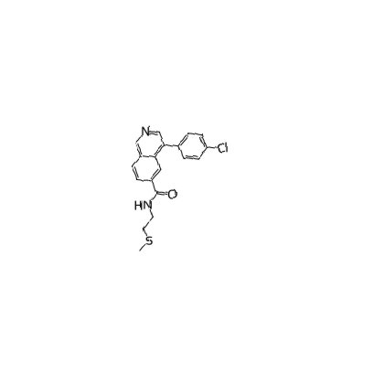 CSCCNC(=O)c1ccc2cncc(-c3ccc(Cl)cc3)c2c1